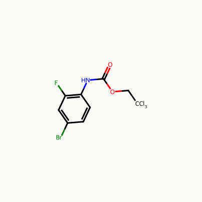 O=C(Nc1ccc(Br)cc1F)OCC(Cl)(Cl)Cl